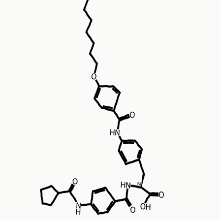 CCCCCCCOc1ccc(C(=O)Nc2ccc(C[C@H](NC(=O)c3ccc(NC(=O)C4CCCC4)cc3)C(=O)O)cc2)cc1